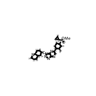 COP(=O)(c1ccc(-c2cnc3nnn(Cc4ccc5ncccc5c4)c3n2)c(F)c1)C1CC1